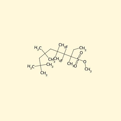 CCC(C)(C(F)(F)C(C)(C)CC(C)(C)CC(C)(C)C)S(=O)(=O)OC